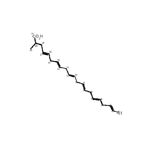 CCC=CCC=CCC=CCC=CCC=CCC=CCC(C)C(=O)O